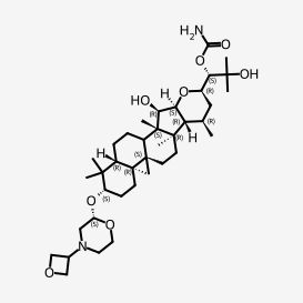 C[C@@H]1C[C@H]([C@H](OC(N)=O)C(C)(C)O)O[C@H]2[C@H]1[C@@]1(C)CC[C@@]34C[C@@]35CC[C@H](O[C@H]3CN(C6COC6)CCO3)C(C)(C)[C@@H]5CCC4[C@]1(C)[C@H]2O